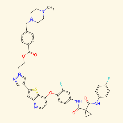 CN1CCN(Cc2ccc(C(=O)OCCn3cc(-c4cc5nccc(Oc6ccc(NC(=O)C7(C(=O)Nc8ccc(F)cc8)CC7)cc6F)c5s4)cn3)cc2)CC1